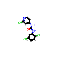 O=C(Nc1ccnc(Cl)c1)Nc1cc(Cl)ccc1Cl